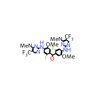 CNc1nc(Nc2cc(F)c(C(=O)c3cc(OC)c(Nc4ncc(C(F)(F)F)c(NC)n4)cc3F)cc2OC)ncc1C(F)(F)F